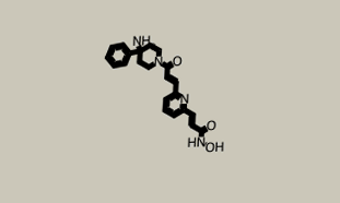 NC1(c2ccccc2)CCN(C(=O)/C=C/c2cccc(/C=C/C(=O)NO)n2)CC1